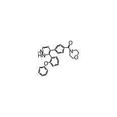 CN1C=CC(c2ccc(C(=O)N3CCOCC3)cc2)=C(c2ccccc2Oc2ccccc2)N1